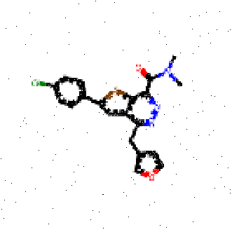 CN(C)C(=O)c1nnc(Cc2ccoc2)c2cc(-c3ccc(Cl)cc3)sc12